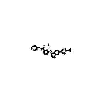 Cc1c(Oc2ccnc3cc(-c4cnc(C5CC5)nc4)ccc23)cccc1C(=O)NCc1ccncc1